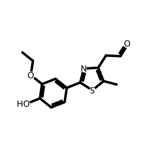 CCOc1cc(-c2nc(CC=O)c(C)s2)ccc1O